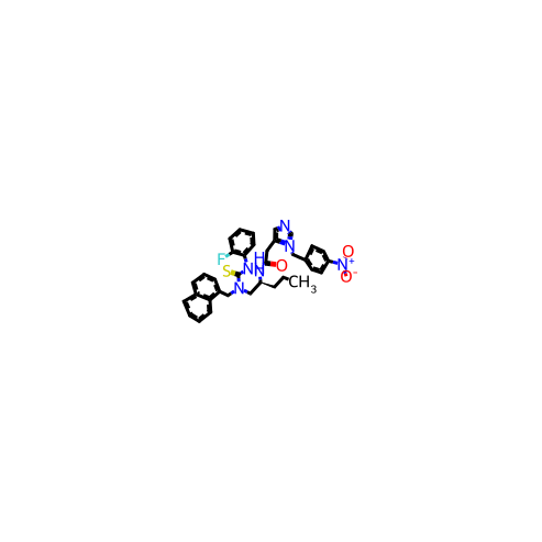 CCC[C@@H](CN(Cc1cccc2ccccc12)C(=S)Nc1ccccc1F)NC(=O)Cc1cncn1Cc1ccc([N+](=O)[O-])cc1